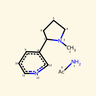 CC(N)=O.CN1CCCC1c1cccnc1